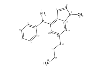 Cn1ncc2c(C(N)c3ccccc3)nc(SCCN)nc21